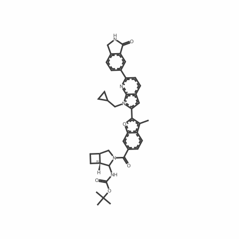 Cc1c(-c2cc3ccc(-c4ccc5c(c4)C(=O)NC5)nc3n2CC2CC2)oc2cc(C(=O)N3CC4CC[C@H]4C3NC(=O)OC(C)(C)C)ccc12